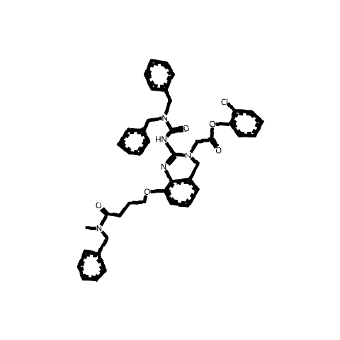 CN(Cc1ccccc1)C(=O)CCCOc1cccc2c1N=C(NC(=O)N(Cc1ccccc1)Cc1ccccc1)N(CC(=O)Oc1ccccc1Cl)C2